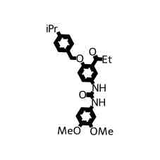 CCC(=O)c1cc(NC(=O)Nc2ccc(OC)c(OC)c2)ccc1OCc1ccc(C(C)C)cc1